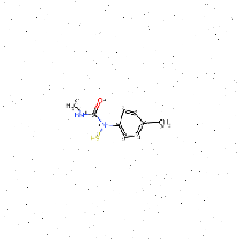 CNC(=O)N(S)c1ccc(C)cc1